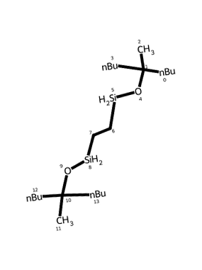 CCCCC(C)(CCCC)O[SiH2]CC[SiH2]OC(C)(CCCC)CCCC